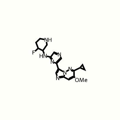 COc1cc2ncc(-c3cncc(NC4CNCCC4F)n3)n2nc1C1CC1